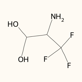 NC(C(O)O)C(F)(F)F